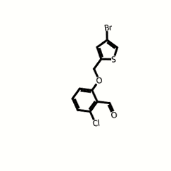 O=Cc1c(Cl)cccc1OCc1cc(Br)cs1